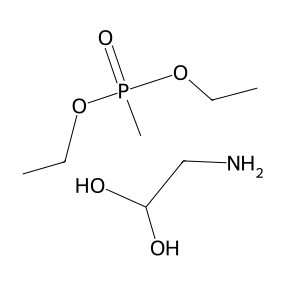 CCOP(C)(=O)OCC.NCC(O)O